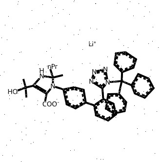 CCCC1(C)NC(C(C)(C)O)=C(C(=O)[O-])N1c1ccc(-c2ccccc2-c2nnnn2C(c2ccccc2)(c2ccccc2)c2ccccc2)cc1.[Li+]